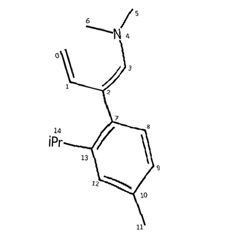 C=C/C(=C\N(C)C)c1ccc(C)cc1C(C)C